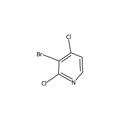 Clc1ccnc(Cl)c1Br